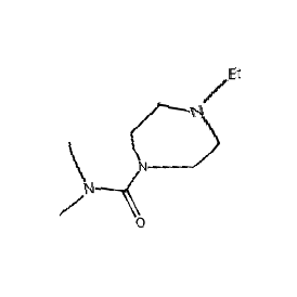 CCN1CCN(C(=O)N(C)C)CC1